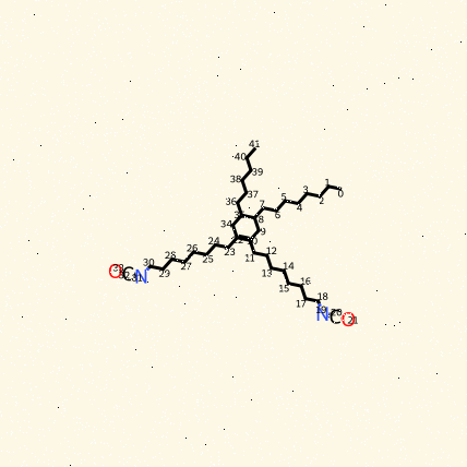 CCCCCCCCC1CC(CCCCCCCCN=C=O)=C(CCCCCCCCN=C=O)CC1CCCCCC